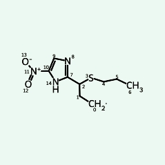 [CH2]CC(SCCC)c1ncc([N+](=O)[O-])[nH]1